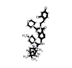 C[C@@H]1[C@@H](/N=C(/Nc2ccc3c(=O)n(CCc4ccc(Cl)cc4Cl)c(N4CCOCC4)nc3c2)N2CCN(C)CC2)C[C@@H]2C[C@H]1C2(C)C